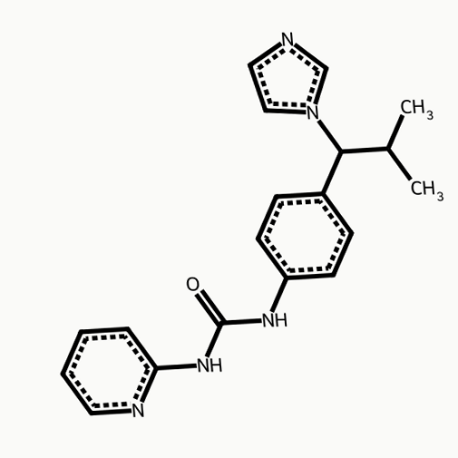 CC(C)C(c1ccc(NC(=O)Nc2ccccn2)cc1)n1ccnc1